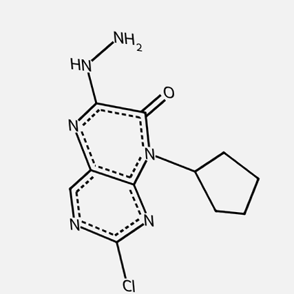 NNc1nc2cnc(Cl)nc2n(C2CCCC2)c1=O